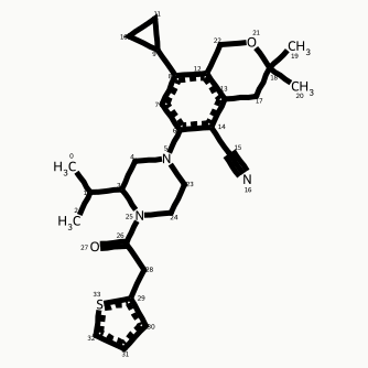 CC(C)C1CN(c2cc(C3CC3)c3c(c2C#N)CC(C)(C)OC3)CCN1C(=O)Cc1cccs1